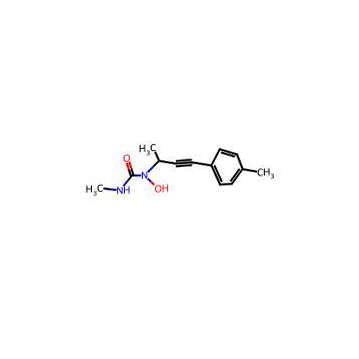 CNC(=O)N(O)C(C)C#Cc1ccc(C)cc1